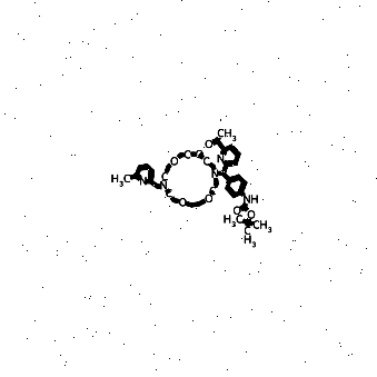 CC(=O)c1cccc(C(c2ccc(NC(=O)OC(C)(C)C)cc2)N2CCOCCOCCN(Cc3cccc(C)n3)CCOCCOCC2)n1